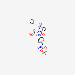 CC(C)(C)OC(=O)NCc1ccc(NC(=O)N2c3ccccc3C(=O)N(CCc3ccccc3)CC2CC(=O)O)cc1